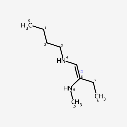 CCCCN/C=C(/CC)NC